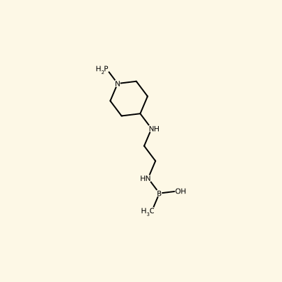 CB(O)NCCNC1CCN(P)CC1